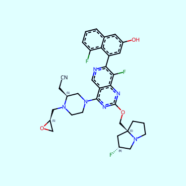 N#CC[C@H]1CN(c2nc(OC[C@@]34CCCN3C[C@H](F)C4)nc3c(F)c(-c4cc(O)cc5cccc(F)c45)ncc23)CCN1C[C@H]1CO1